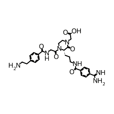 N=C(N)c1ccc(C(=O)NCCC[C@H]2C(=O)N(CC(=O)O)CCN2C(=O)CNC(=O)c2ccc(CCN)cc2)cc1